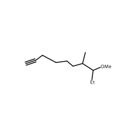 C#CCCCCC(C)C(CC)OC